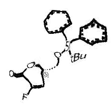 CC(C)(C)[Si](OC[C@@H]1C=C(F)C(=O)O1)(c1ccccc1)c1ccccc1